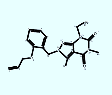 C=CCOc1ccccc1Cn1nc2c(c1C)c(=O)n(C)c(=O)n2CC(C)C